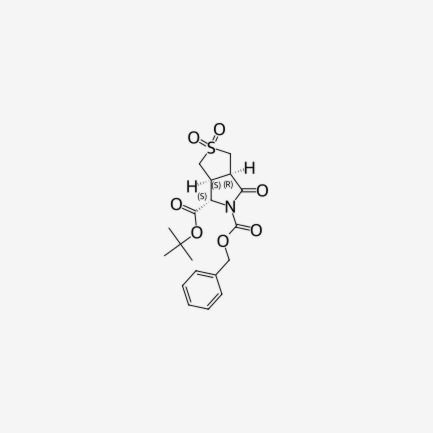 CC(C)(C)OC(=O)[C@@H]1[C@H]2CS(=O)(=O)C[C@H]2C(=O)N1C(=O)OCc1ccccc1